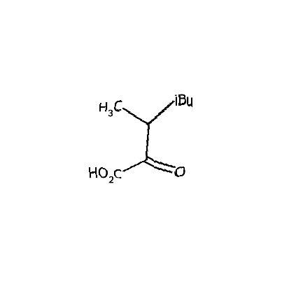 CCC(C)C(C)C(=O)C(=O)O